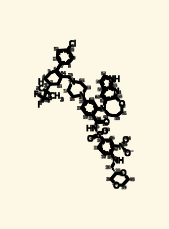 CC(C)([C@H]1CCC(c2ccc(Cl)cc2)=C(CN2CCN(c3ccc(C(=O)NS(=O)(=O)c4ccc(NC[C@H]5COCCO5)c([N+](=O)[O-])c4)c(N4CCCOc5nc6[nH]ccc6cc54)c3)CC2)C1)C(F)(F)F